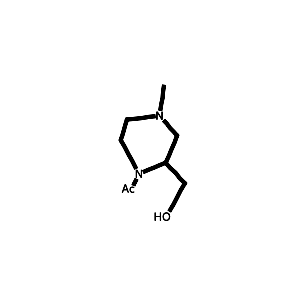 CC(=O)N1CCN(C)CC1CO